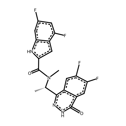 C[C@@H](c1n[nH]c(=O)c2cc(F)c(F)cc12)N(C)C(=O)c1cc2c(F)cc(F)cc2[nH]1